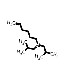 C=CCCC[CH2][Al]([CH2]C(C)C)[CH2]C(C)C